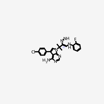 CC(C)(/C(=C/Nc1ccccc1F)N=N)n1cc(-c2ccc(Cl)cc2)c2c(N)ncnc21